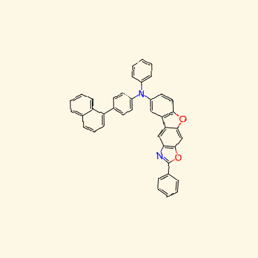 c1ccc(-c2nc3cc4c(cc3o2)oc2ccc(N(c3ccccc3)c3ccc(-c5cccc6ccccc56)cc3)cc24)cc1